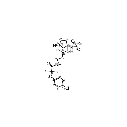 CC(C)(Oc1ccc(Cl)cc1)C(=O)NCCC1C[C@@H]2CC[C@@](NS(C)(=O)=O)(C1)C2